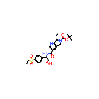 CC[C@H]1c2ncc(C(=O)N[C@@H](CO)c3ccc(S(=O)(=O)CC)cc3)cc2CN1C(=O)OC(C)(C)C